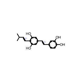 CC(C)/C=C/c1c(O)cc(/C=C/c2ccc(O)c(O)c2)cc1O